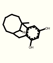 CC12CCCCCC(Cc3c(O)cc(O)cc31)C2N